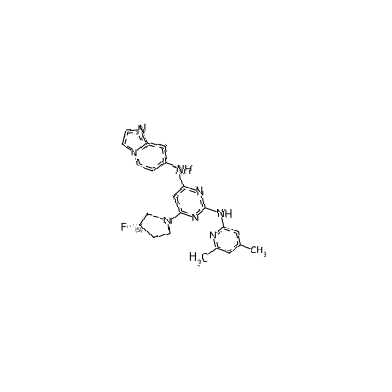 Cc1cc(C)nc(Nc2nc(Nc3ccn4ccnc4c3)cc(N3CC[C@H](F)C3)n2)c1